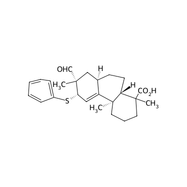 CC1(C(=O)O)CCC[C@@]2(C)C3=C[C@H](Sc4ccccc4)[C@](C)(C=O)C[C@H]3CC[C@H]12